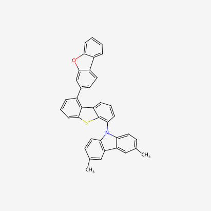 Cc1ccc2c(c1)c1cc(C)ccc1n2-c1cccc2c1sc1cccc(-c3ccc4c(c3)oc3ccccc34)c12